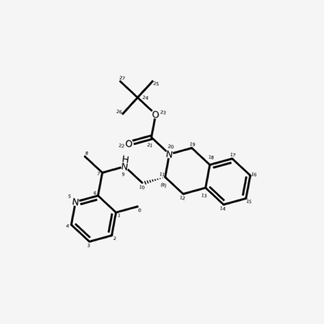 Cc1cccnc1C(C)NC[C@H]1Cc2ccccc2CN1C(=O)OC(C)(C)C